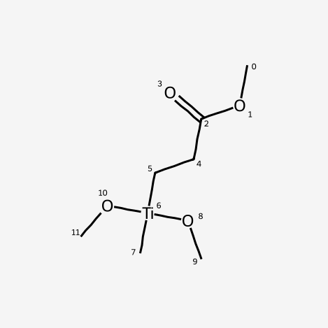 COC(=O)C[CH2][Ti]([CH3])([O]C)[O]C